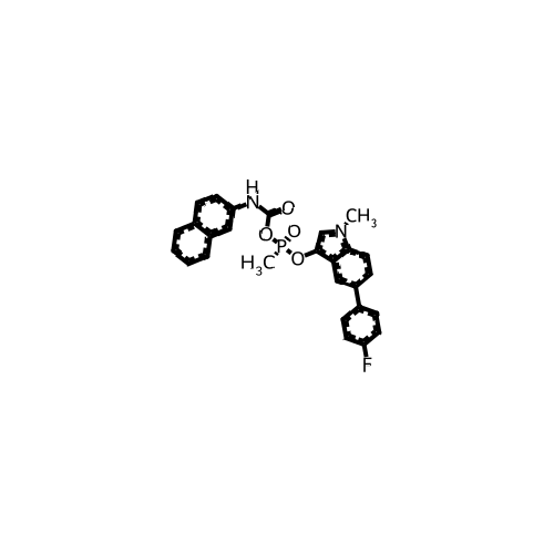 Cn1cc(OP(C)(=O)OC(=O)Nc2ccc3ccccc3c2)c2cc(-c3ccc(F)cc3)ccc21